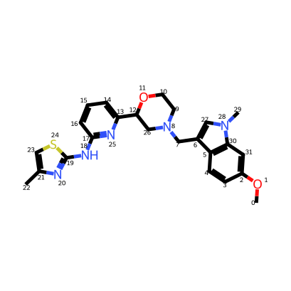 COc1ccc2c(CN3CCOC(c4cccc(Nc5nc(C)cs5)n4)C3)cn(C)c2c1